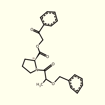 CC(OCc1ccccc1)C(=O)N1CCC[C@H]1C(=O)OCC(=O)c1ccccc1